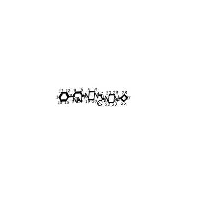 O=C(CN1CCN(c2ccc(-c3ccccc3)nn2)CC1)N1CCN(C2CCC2)CC1